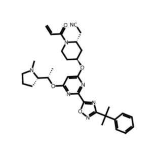 C=CC(=O)N1CC[C@H](Oc2cc(O[C@@H](C)[C@@H]3CCCN3C)nc(-c3nc(C(C)(C)c4ccccc4)no3)n2)C[C@H]1CC#N